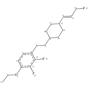 CCOc1ccc(CCC2CCC(/C=C/CF)CC2)c(F)c1F